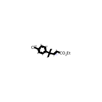 CCOC(=O)/C=C/C(C)(C)c1ccc(Cl)cc1